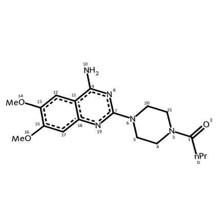 CCCC(=O)N1CCN(c2nc(N)c3cc(OC)c(OC)cc3n2)CC1